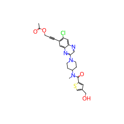 CC(=O)OCC#Cc1cc2nc(N3CCC(N(C)C(=O)c4cc(CO)cs4)CC3)cnc2cc1Cl